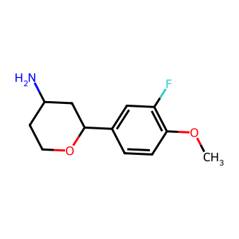 COc1ccc(C2CC(N)CCO2)cc1F